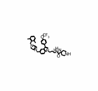 Cc1cccc(C)c1CN1CC2CC1CN2Cc1ccc2c(c1)c(-c1ccc(OC(F)(F)F)cc1)cn2CCCNC(=O)C1(N)CCNCC1